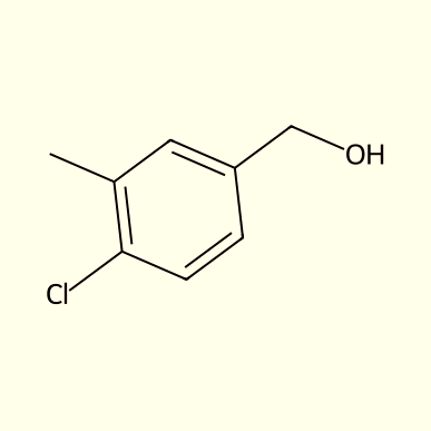 Cc1cc(CO)ccc1Cl